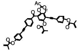 C=C(C)C(=O)Oc1ccc(C#Cc2ccc(C(=O)c3cc(OC(=O)C(=C)C)c(C#Cc4ccc(OC(=O)C(=C)C)cc4)c(F)c3OC(=O)C(C)=O)cc2)cc1